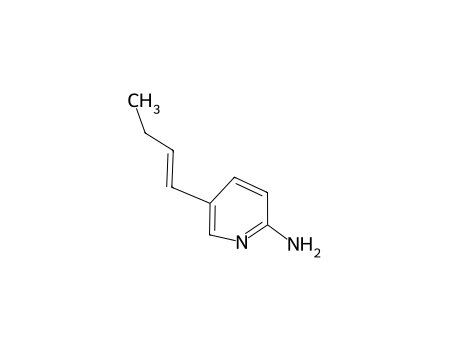 CCC=Cc1ccc(N)nc1